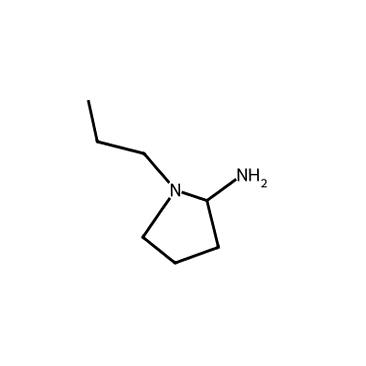 CCCN1CCCC1N